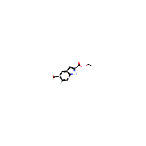 CCOC(=O)c1cc2cc(C(=O)O)c(Cl)cc2[nH]1